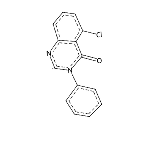 O=c1c2c(Cl)cccc2n[c]n1-c1ccccc1